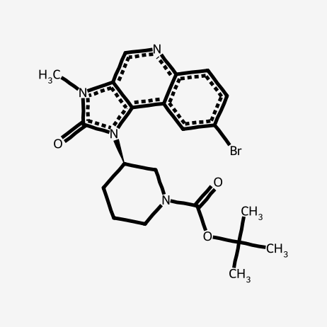 Cn1c(=O)n([C@@H]2CCCN(C(=O)OC(C)(C)C)C2)c2c3cc(Br)ccc3ncc21